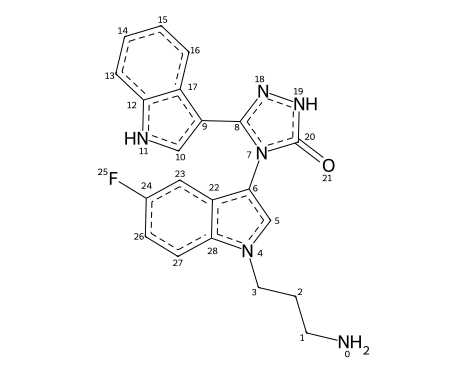 NCCCn1cc(-n2c(-c3c[nH]c4ccccc34)n[nH]c2=O)c2cc(F)ccc21